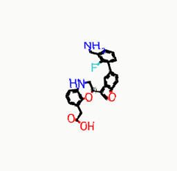 NCc1cccc(-c2ccc3occ([C@@H]4CNc5cccc(CC(=O)O)c5O4)c3c2)c1F